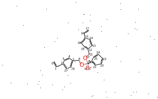 C=Cc1ccc(COC(Br)(OCc2ccc(C=C)cc2)c2ccccc2)cc1